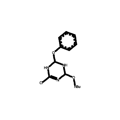 CCCCOC1N=C(Cl)NC(Oc2ccccc2)N1